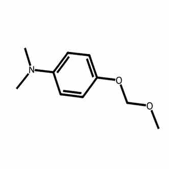 COCOc1ccc(N(C)C)cc1